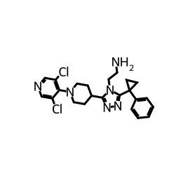 NCCn1c(C2CCN(c3c(Cl)cncc3Cl)CC2)nnc1C1(c2ccccc2)CC1